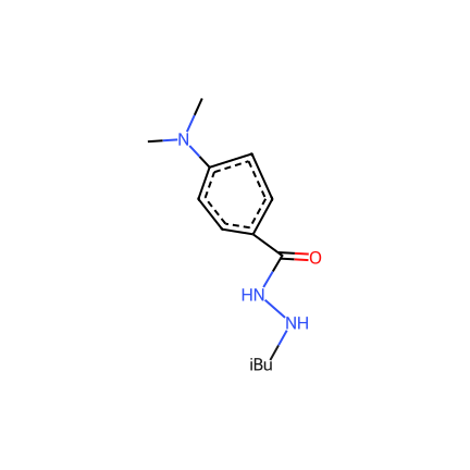 CCC(C)NNC(=O)c1ccc(N(C)C)cc1